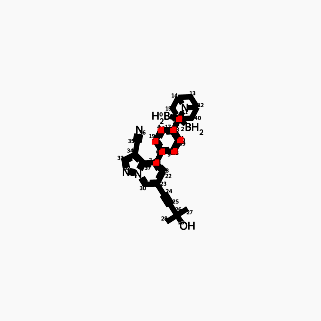 BC(B)(c1ccc(OC)nc1)N1C2CC1CN(c1ccc(-c3cc(C#CC(C)(C)O)cn4ncc(C#N)c34)cn1)C2